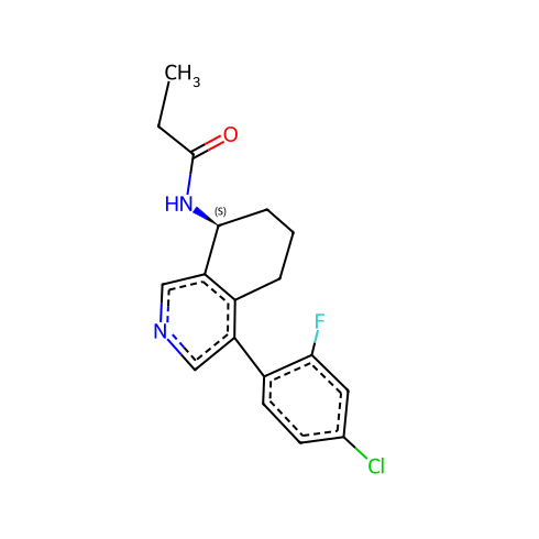 CCC(=O)N[C@H]1CCCc2c(-c3ccc(Cl)cc3F)cncc21